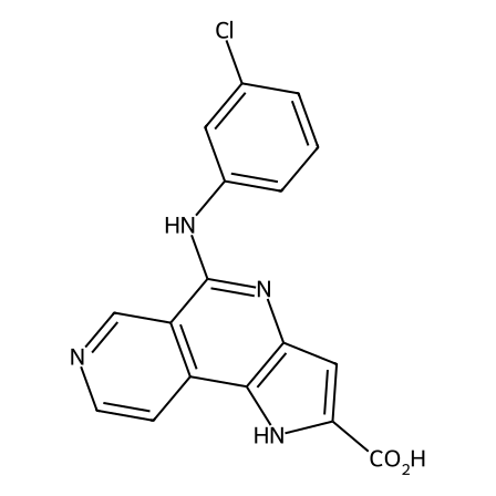 O=C(O)c1cc2nc(Nc3cccc(Cl)c3)c3cnccc3c2[nH]1